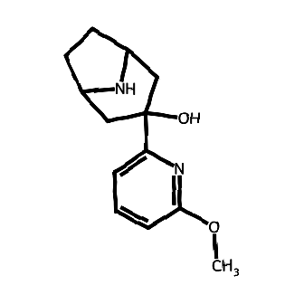 COc1cccc(C2(O)CC3CCC(C2)N3)n1